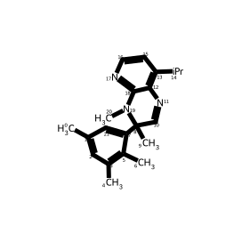 Cc1cc(C)c(C)c(C2(C)C=Nc3c(C(C)C)ccnc3N2C)c1